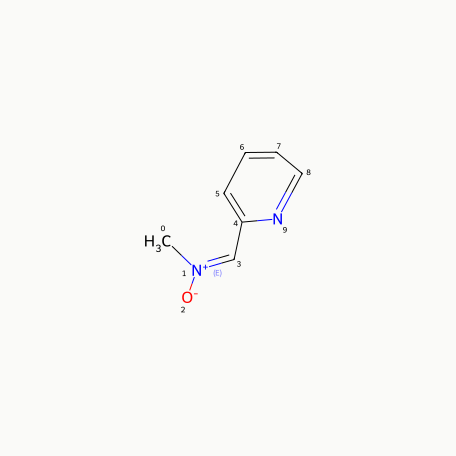 C/[N+]([O-])=C\c1ccccn1